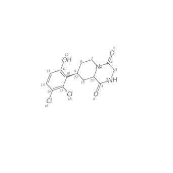 O=C1NCC(=O)N2CC[C@H](c3c(O)ccc(Cl)c3Cl)CC12